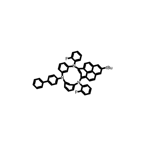 CC(C)(C)c1cc2ccc3c4cc(c5ccc(c1)c2c35)N(c1ccccc1F)c1cccc(c1)N(c1ccc(-c2ccccc2)cc1)c1cccc(c1)N4c1ccccc1F